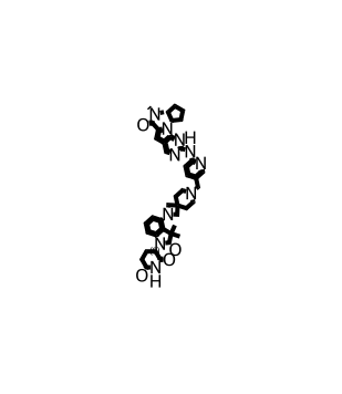 CN(C)C(=O)c1cc2cnc(Nc3ccc(CN4CCC5(CC4)CN(c4cccc6c4C(C)(C)C(=O)N6[C@H]4CCC(=O)NC4=O)C5)cn3)nc2n1C1CCCC1